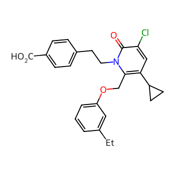 CCc1cccc(OCc2c(C3CC3)cc(Cl)c(=O)n2CCc2ccc(C(=O)O)cc2)c1